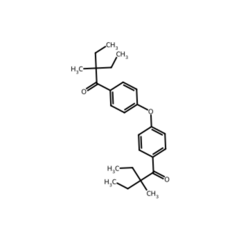 CCC(C)(CC)C(=O)c1ccc(Oc2ccc(C(=O)C(C)(CC)CC)cc2)cc1